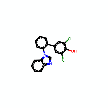 Oc1c(Cl)cc(-c2ccccc2-n2cnc3ccccc32)cc1Cl